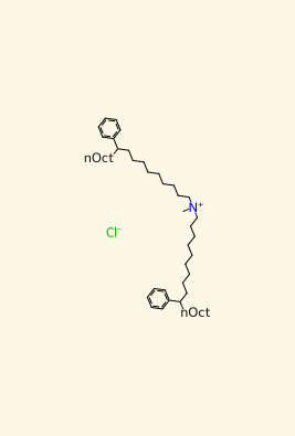 CCCCCCCCC(CCCCCCCCC[N+](C)(C)CCCCCCCCCC(CCCCCCCC)c1ccccc1)c1ccccc1.[Cl-]